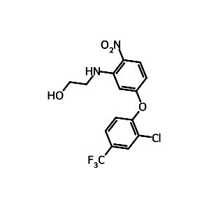 O=[N+]([O-])c1ccc(Oc2ccc(C(F)(F)F)cc2Cl)cc1NCCO